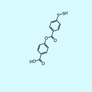 O=C(O)c1ccc(OC(=O)c2ccc(SS)cc2)cc1